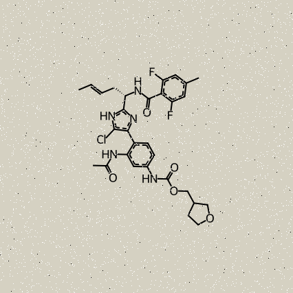 C/C=C/C[C@H](NC(=O)c1c(F)cc(C)cc1F)c1nc(-c2ccc(NC(=O)OCC3CCOC3)cc2NC(C)=O)c(Cl)[nH]1